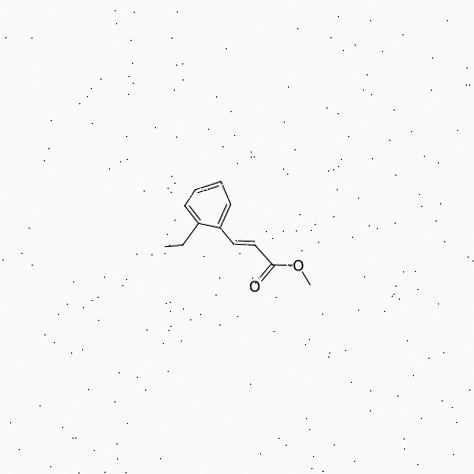 CCc1ccccc1/C=C/C(=O)OC